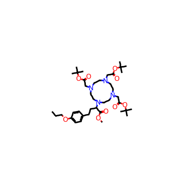 CCCOc1ccc(CCC(C(=O)OC)N2CCN(CC(=O)OC(C)(C)C)CCN(CC(=O)OC(C)(C)C)CCN(CC(=O)OC(C)(C)C)CC2)cc1